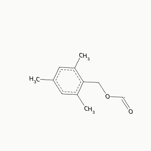 Cc1cc(C)c(CO[C]=O)c(C)c1